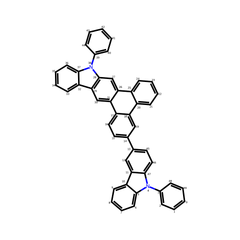 c1ccc(-n2c3ccccc3c3cc(-c4ccc5c(c4)c4ccccc4c4cc6c(cc54)c4ccccc4n6-c4ccccc4)ccc32)cc1